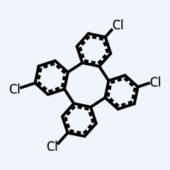 Clc1ccc2c(c1)-c1cc(Cl)ccc1-c1ccc(Cl)cc1-c1cc(Cl)ccc1-2